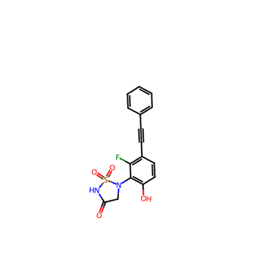 O=C1CN(c2c(O)ccc(C#Cc3ccccc3)c2F)S(=O)(=O)N1